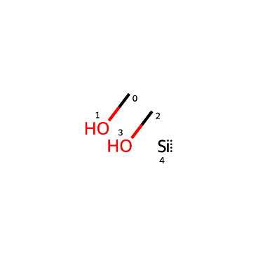 CO.CO.[Si]